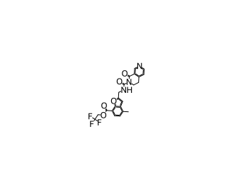 Cc1ccc(C(=O)OCC(F)(F)F)c2oc(CNC(=O)N3CCc4ccncc4C3=O)cc12